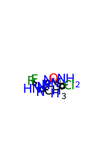 Cc1cnc(NC2CC(F)(F)C2)nc1-n1cnc(C(=O)N[C@H](CN)c2cccc(Cl)c2)c1